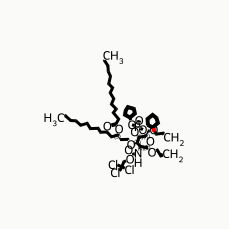 C=CCOC[C@H]1O[C@H](OCC=C)[C@@H](NC(=O)OCC(Cl)(Cl)Cl)[C@@H](OCC[C@H](CCCCCCCCCCC)OC(=O)CCCCCCCCCCCCC)[C@@H]1OP(=O)(Oc1ccccc1)Oc1ccccc1